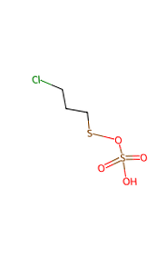 O=S(=O)(O)OSCCCCl